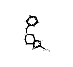 Nc1nc2c(s1)CN(Cc1ccccc1)CC2